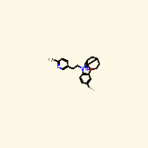 Cc1ccc2c(c1)C1C3CC4CC(CN(C4)C3)C1N2CCc1ccc(C)nc1